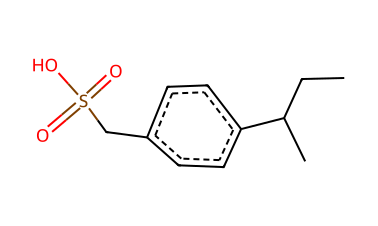 CCC(C)c1ccc(CS(=O)(=O)O)cc1